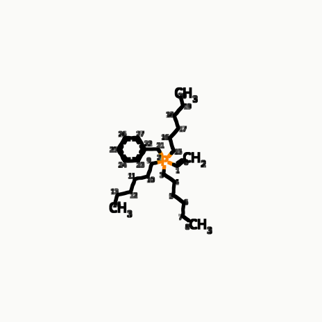 C=CP(CCCCCC)(CCCCCC)(CCCCCC)Cc1ccccc1